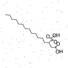 CCCCCCCCCCCCCC(CC(=O)O)S(=O)(=O)O